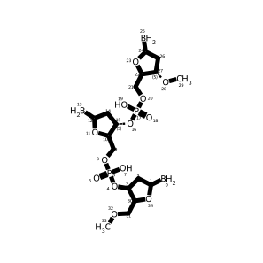 BC1CC(OP(=O)(O)OCC2OC(B)C[C@@H]2OP(=O)(O)OCC2OC(B)C[C@@H]2OC)C(COC)O1